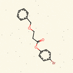 O=C(CCOCc1ccccc1)Oc1ccc(Br)cc1